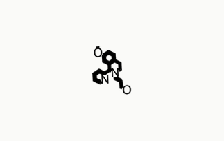 COc1ccc2c(c1)C(c1ccccn1)N(C=CC=O)CC2